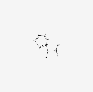 [CH2]C(c1ccccc1)N(C)C